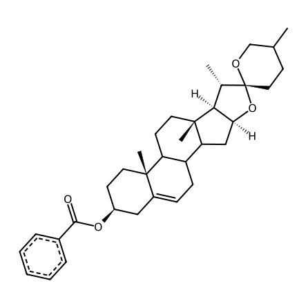 CC1CC[C@@]2(OC1)O[C@H]1CC3C4CC=C5C[C@@H](OC(=O)c6ccccc6)CC[C@]5(C)C4CC[C@]3(C)[C@H]1[C@@H]2C